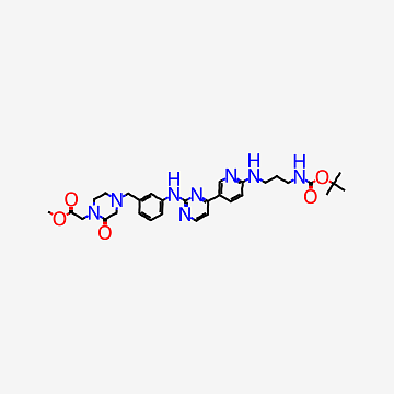 COC(=O)CN1CCN(Cc2cccc(Nc3nccc(-c4ccc(NCCCNC(=O)OC(C)(C)C)nc4)n3)c2)CC1=O